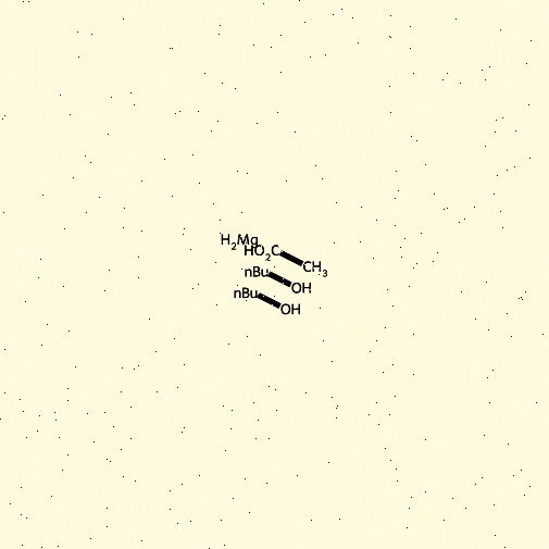 CC(=O)O.CCCCO.CCCCO.[MgH2]